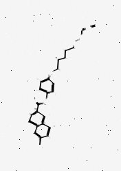 C=C=COOCCCCCOc1ccc(OC(=O)c2ccc3cc(C)ccc3c2)cc1